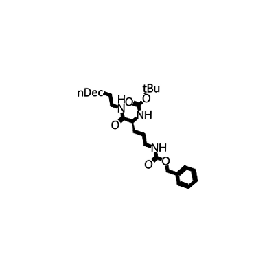 CCCCCCCCCCCCNC(=O)[C@H](CCCNC(=O)OCc1ccccc1)NC(=O)OC(C)(C)C